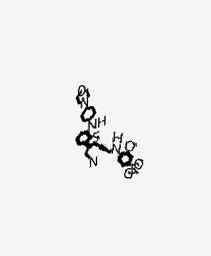 COc1cc(S(C)(=O)=O)ccc1NCC#Cc1sc2c(NC3CCC(N4CCOCC4)CC3)cccc2c1CC#N